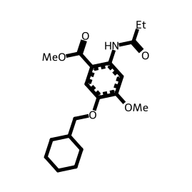 CCC(=O)Nc1cc(OC)c(OCC2CCCCC2)cc1C(=O)OC